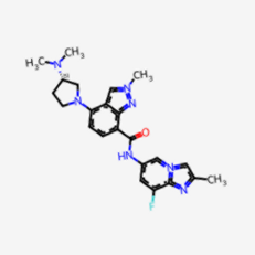 Cc1cn2cc(NC(=O)c3ccc(N4CC[C@H](N(C)C)C4)c4cn(C)nc34)cc(F)c2n1